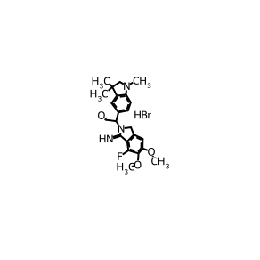 Br.COc1cc2c(c(F)c1OC)C(=N)N(C(C=O)c1ccc3c(c1)C(C)(C)CN3C)C2